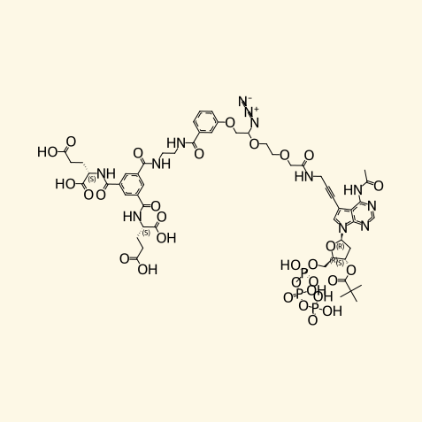 CC(=O)Nc1ncnc2c1c(C#CCNC(=O)COCCOC(COc1cccc(C(=O)NCCNC(=O)c3cc(C(=O)N[C@@H](CCC(=O)O)C(=O)O)cc(C(=O)N[C@@H](CCC(=O)O)C(=O)O)c3)c1)N=[N+]=[N-])cn2[C@H]1C[C@H](OC(=O)C(C)(C)C)[C@@H](COP(=O)(O)OP(=O)(O)OP(=O)(O)O)O1